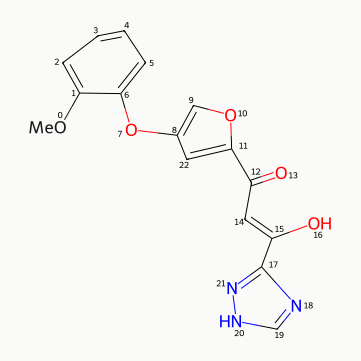 COc1ccccc1Oc1coc(C(=O)C=C(O)c2nc[nH]n2)c1